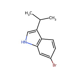 CC(C)c1c[nH]c2cc(Br)ccc12